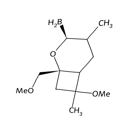 B[C@@H]1O[C@@]2(COC)CC(C)(OC)C2CC1C